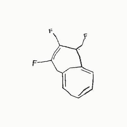 F[C]1C(F)=C(F)c2ccccc21